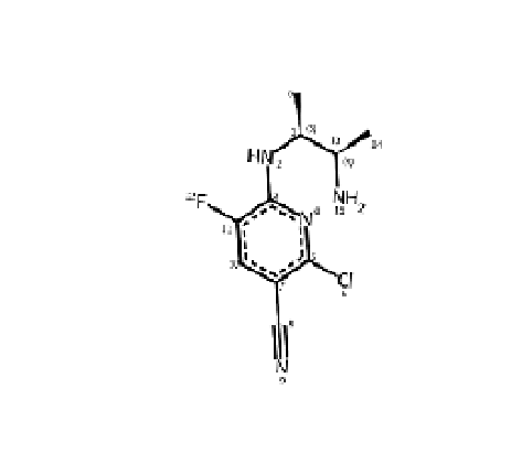 C[C@H](Nc1nc(Cl)c(C#N)cc1F)[C@@H](C)N